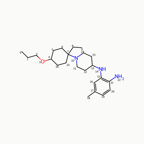 CCCOC1CCC(CC)(N2CCC(Nc3cc(C)ccc3N)CC2)CC1